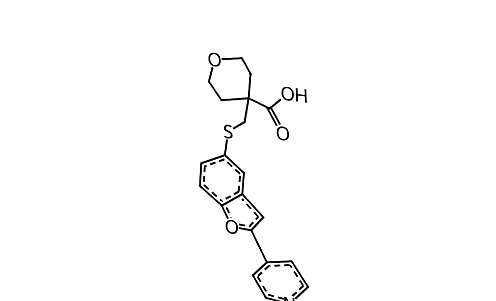 O=C(O)C1(CSc2ccc3oc(-c4ccncc4)cc3c2)CCOCC1